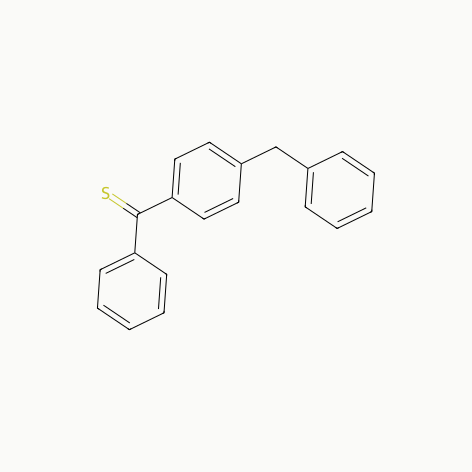 S=C(c1ccccc1)c1ccc(Cc2ccccc2)cc1